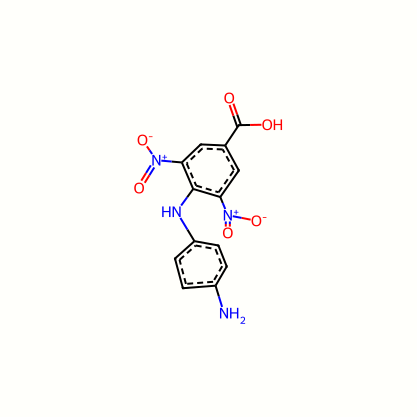 Nc1ccc(Nc2c([N+](=O)[O-])cc(C(=O)O)cc2[N+](=O)[O-])cc1